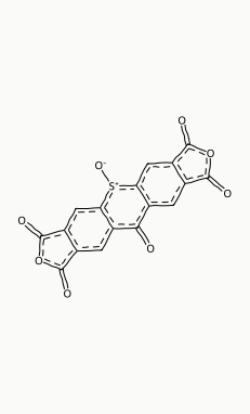 O=c1oc(=O)c2cc3c(cc12)c(=O)c1cc2c(=O)oc(=O)c2cc1[s+]3[O-]